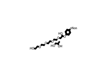 CC(O)CO.CCCCCCCCCc1ccc(OC(O)COCCOCCOCCOCCO)cc1